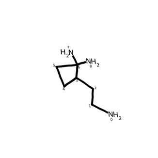 NCCC1CCC1(N)N